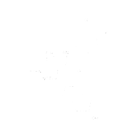 Cn1nc(C2CC3CC(O)CC3C2)c(C(=O)Nc2ccc(F)c(Cl)c2)c1[AsH2]